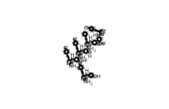 Nc1ncc(C#Cc2ccc(Cl)cc2)c(N[C@H]2CC[C@@H](O)CC2)n1.Nc1ncc(C#Cc2ccc(Cl)cc2)c(N[C@H]2CC[C@H](O)CC2)n1.Nc1ncc(C#Cc2ccc(Cl)cc2)c(Nc2ccc(O)cc2)n1.Nc1ncc(C#Cc2ccccc2)c(N[C@H]2CC[C@H](O)CC2)n1.O[C@H]1CC[C@H](Nc2ncncc2C#Cc2ccc(Cl)cc2)CC1